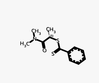 C[C@H](SC(=S)c1ccccc1)C(=O)N(C)C